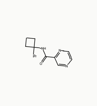 CC(C)C1(NC(=O)c2cnccn2)CCC1